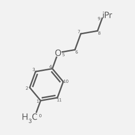 Cc1ccc(OCCCC(C)C)cc1